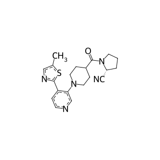 Cc1cnc(-c2ccncc2N2CCC(C(=O)N3CCC[C@@H]3C#N)CC2)s1